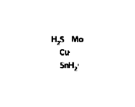 S.[Cu].[Mo].[SnH2]